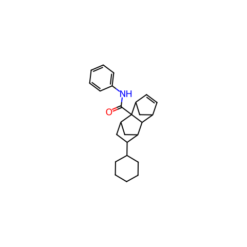 O=C(Nc1ccccc1)C12C3C=CC(C3)C1C1CC2CC1C1CCCCC1